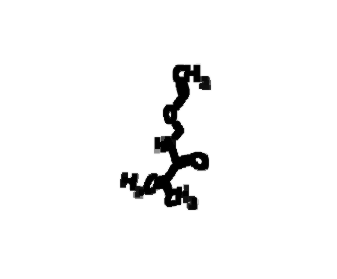 C=COCNC(=O)C(=C)C